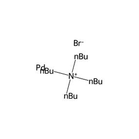 CCCC[N+](CCCC)(CCCC)CCCC.[Br-].[Pd]